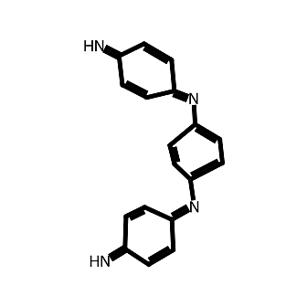 N=C1C=CC(=Nc2ccc(N=C3C=CC(=N)C=C3)cc2)C=C1